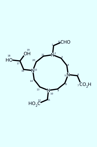 O=CCN1CCN(CC(=O)O)CCN(CC(=O)O)CCN(CC(O)O)CC1